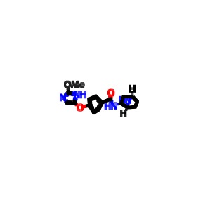 COc1ncc(Oc2ccc(C(=O)N[C@@H]3C[C@H]4CC[C@@H]3N4)cc2)[nH]1